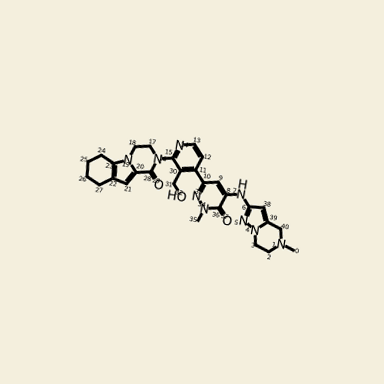 CN1CCn2nc(Nc3cc(-c4ccnc(N5CCn6c(cc7c6CCCC7)C5=O)c4CO)nn(C)c3=O)cc2C1